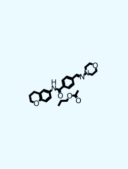 CCCOC(C)=O.O=C(Nc1ccc2c(c1)CCCO2)c1ccc(C=NN2CCOCC2)cc1